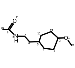 COC1CCC(CCNC(C)=O)CC1